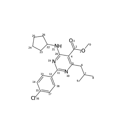 COC(=O)c1c(CC(C)C)nc(-c2ccc(Cl)cc2)nc1NC1CCCC1